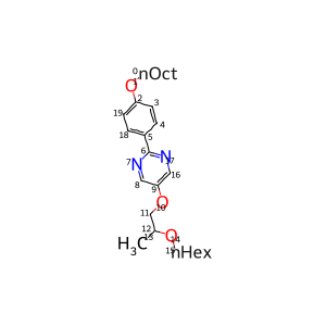 CCCCCCCCOc1ccc(-c2ncc(OCC(C)OCCCCCC)cn2)cc1